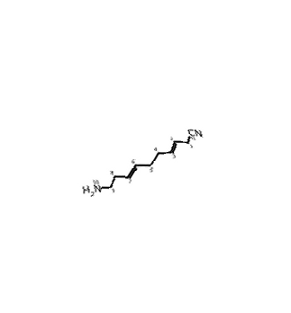 N#CCC=CCCC=CCCN